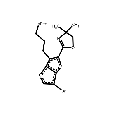 CCCCCCCCCCCCCc1c(C2=NC(C)(C)CO2)sc2c(Br)csc12